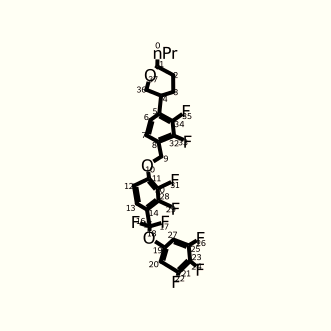 CCCC1CCC(c2ccc(COc3ccc(C(F)(F)Oc4cc(F)c(F)c(F)c4)c(F)c3F)c(F)c2F)CO1